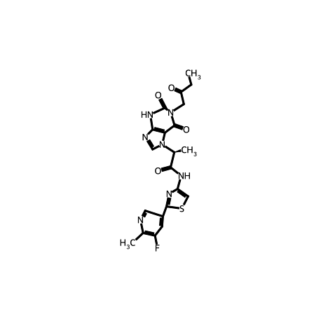 CCC(=O)Cn1c(=O)[nH]c2ncn([C@@H](C)C(=O)Nc3csc(-c4cnc(C)c(F)c4)n3)c2c1=O